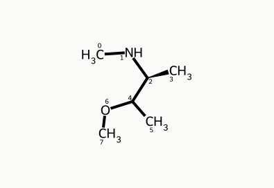 CN[C@@H](C)C(C)OC